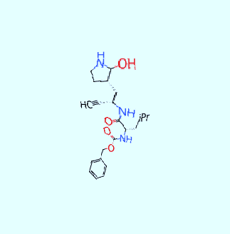 C#C[C@H](C[C@@H]1CCNC1O)NC(=O)[C@H](CC(C)C)NC(=O)OCc1ccccc1